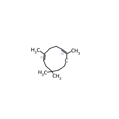 C/C1=C/CC(C)(C)CCC/C(C)=C\CC1